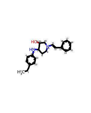 CCc1ccc(NC2CCN(C=Cc3ccccc3)CC2O)cc1